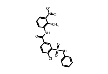 Cc1c(NC(=O)c2ccc(Cl)c(S(=O)(=O)Nc3ccccc3)c2)cccc1[N+](=O)[O-]